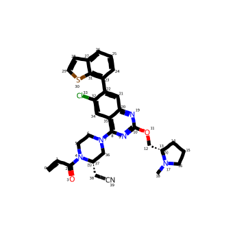 C=CC(=O)N1CCN(c2nc(OC[C@@H]3CCCN3C)nc3cc(-c4cccc5ccsc45)c(Cl)cc23)C[C@@H]1CC#N